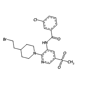 CS(=O)(=O)c1cnc(N2CCC(CCBr)CC2)c(NC(=O)c2cccc(Cl)c2)c1